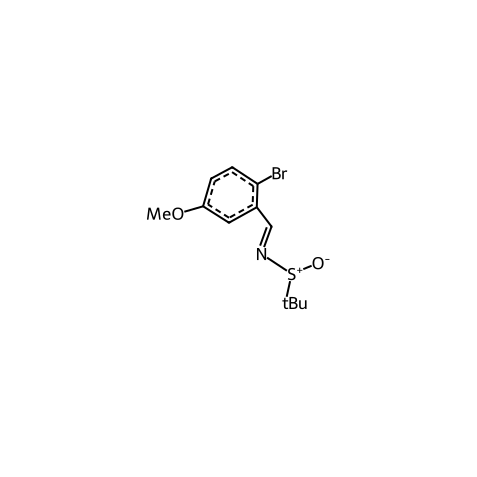 COc1ccc(Br)c(C=N[S+]([O-])C(C)(C)C)c1